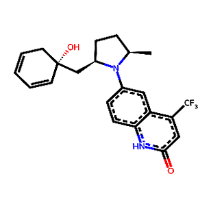 C[C@@H]1CC[C@H](C[C@@]2(O)C=CC=CC2)N1c1ccc2[nH]c(=O)cc(C(F)(F)F)c2c1